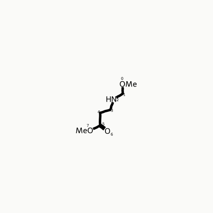 COCNCCC(=O)OC